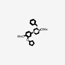 COc1ccc(N2CCN(OC)[C@@H](Cc3ccccc3)C2)cc1OC1CCCC1